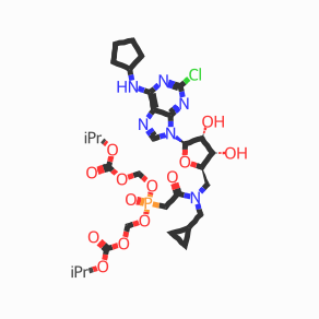 CC(C)OC(=O)OCOP(=O)(CC(=O)N(CC1CC1)C[C@H]1O[C@@H](n2cnc3c(NC4CCCC4)nc(Cl)nc32)[C@H](O)[C@@H]1O)OCOC(=O)OC(C)C